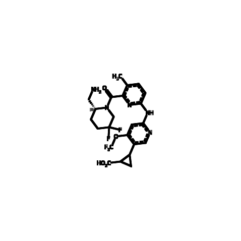 Cc1ccc(Nc2cc(OC(F)(F)F)c(C3CC3C(=O)O)cn2)nc1C(=O)N1CC(F)(F)CC[C@@H]1CN